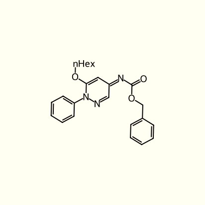 CCCCCCOc1cc(=NC(=O)OCc2ccccc2)cnn1-c1ccccc1